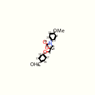 COc1ccc(N2C[C@](C)(COc3ccc(C=O)cc3)OC2=O)cc1